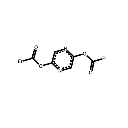 CCC(=O)Oc1cnc(OC(=O)CC)cn1